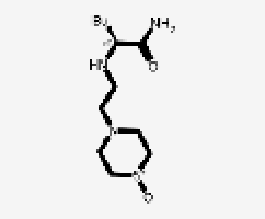 CCC(C)[C@H](NCCN1CC[S+]([O-])CC1)C(N)=O